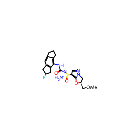 COC[C@@H]1Cn2ncc([S@@](N)(=O)=NC(=O)Nc3c4c(cc5c3C[C@@H](F)C5)CCC4)c2O1